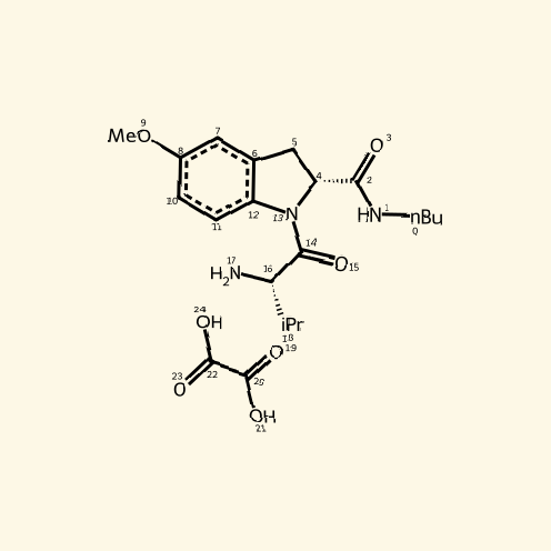 CCCCNC(=O)[C@H]1Cc2cc(OC)ccc2N1C(=O)[C@@H](N)C(C)C.O=C(O)C(=O)O